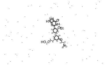 CCOc1cc(-c2cc(CCC(=O)O)cc(OCCN(C)C)c2)ccc1-c1nc2[nH]cnc2c(=O)[nH]1